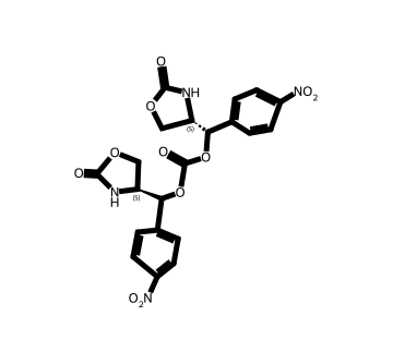 O=C1N[C@H](C(OC(=O)OC(c2ccc([N+](=O)[O-])cc2)[C@@H]2COC(=O)N2)c2ccc([N+](=O)[O-])cc2)CO1